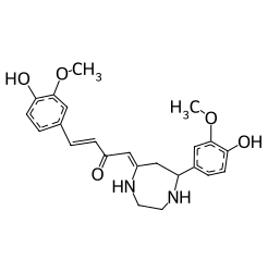 COc1cc(/C=C/C(=O)/C=C2/CC(c3ccc(O)c(OC)c3)NCCN2)ccc1O